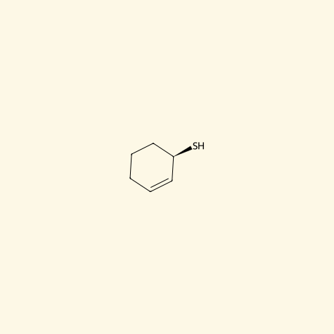 S[C@H]1C=CCCC1